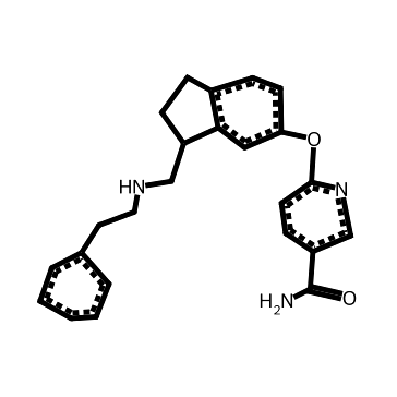 NC(=O)c1ccc(Oc2ccc3c(c2)C(CNCCc2ccccc2)CC3)nc1